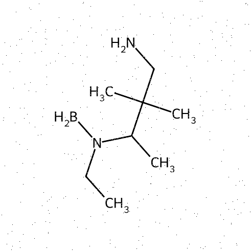 BN(CC)C(C)C(C)(C)CN